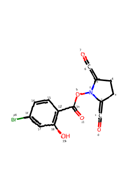 O=C=C1CCC(=C=O)N1OC(=O)c1ccc(Br)cc1O